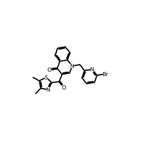 Cc1nc(C(=O)c2cn(Cc3cccc(Br)n3)c3ccccc3c2=O)sc1C